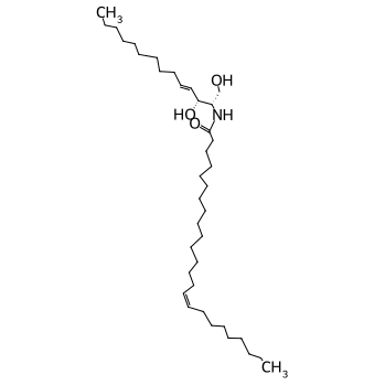 CCCCCCCC/C=C\CCCCCCCCCCCCCC(=O)N[C@@H](CO)[C@H](O)/C=C/CCCCCCCCC